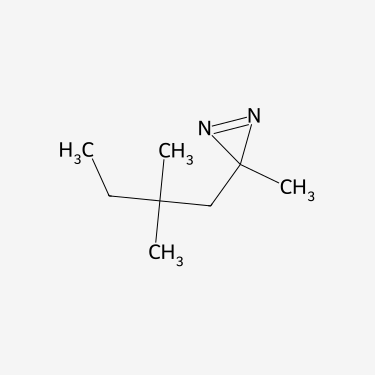 CCC(C)(C)CC1(C)N=N1